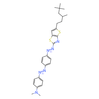 CC(CCc1cc2sc(/N=N/c3ccc(/N=N/c4ccc(N(C)C)cc4)cc3)nc2s1)CC(C)(C)C